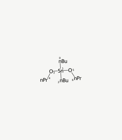 CCC[CH2][Sn]([CH2]CCC)([O]CCC)[O]CCC